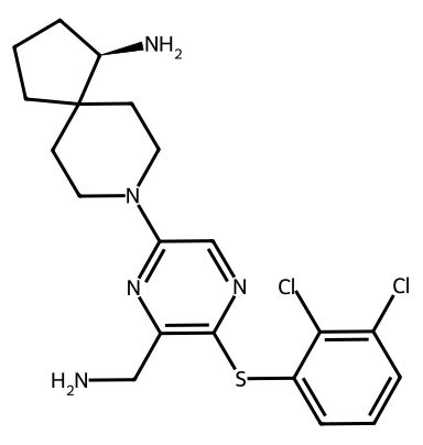 NCc1nc(N2CCC3(CCC[C@H]3N)CC2)cnc1Sc1cccc(Cl)c1Cl